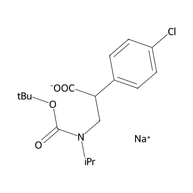 CC(C)N(CC(C(=O)[O-])c1ccc(Cl)cc1)C(=O)OC(C)(C)C.[Na+]